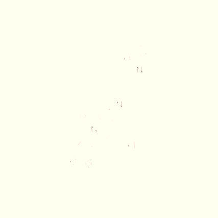 COc1cc2c(cc1OC(C)C)C(c1ccc(Cl)cc1)N(c1ccc(N(C)CC3CCC(N(C)C(=O)OC(C)(C)C)CC3)cc1)C(=O)C2